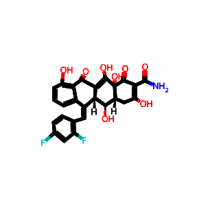 NC(=O)C1=C(O)C[C@@H]2[C@@H](O)[C@H]3C(=C(O)C2(O)C1=O)C(=O)c1c(O)cccc1/C3=C\c1ccc(F)cc1F